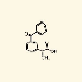 CC(C(=O)O)c1cccc(C(=O)c2cccnc2)c1